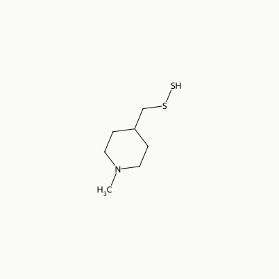 CN1CCC(CSS)CC1